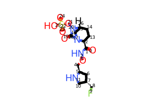 O=C(NOC[C@H]1C[C@H](CF)CN1)[C@@H]1CC[C@@H]2CN1C(=O)N2OS(=O)(=O)O